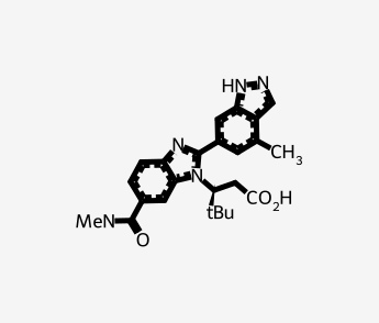 CNC(=O)c1ccc2nc(-c3cc(C)c4cn[nH]c4c3)n([C@@H](CC(=O)O)C(C)(C)C)c2c1